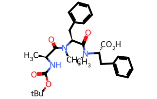 C[C@H](NC(=O)OC(C)(C)C)C(=O)N(C)[C@@H](Cc1ccccc1)C(=O)N(C)[C@@H](Cc1ccccc1)C(=O)O